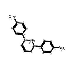 O=[N+]([O-])c1ccc(N2C=CCN(c3ccc([N+](=O)[O-])cc3)N2)cc1